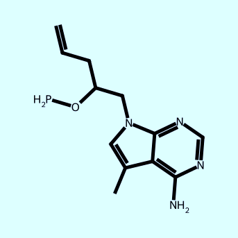 C=CCC(Cn1cc(C)c2c(N)ncnc21)OP